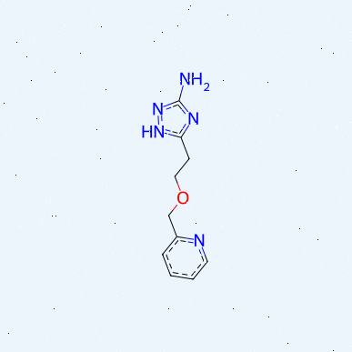 Nc1n[nH]c(CCOCc2ccccn2)n1